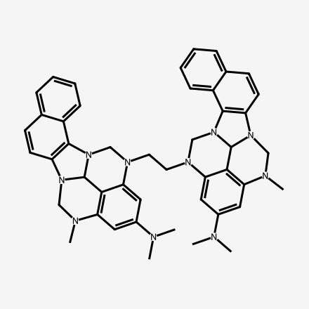 CN(C)c1cc2c3c(c1)N(CCN1CN4c5c(ccc6ccccc56)N5CN(C)c6cc(N(C)C)cc1c6C54)CN1c4c(ccc5ccccc45)N(CN2C)C31